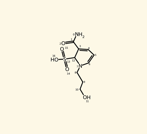 NC(=O)C1=CC=CN(CCCO)C1S(=O)(=O)O